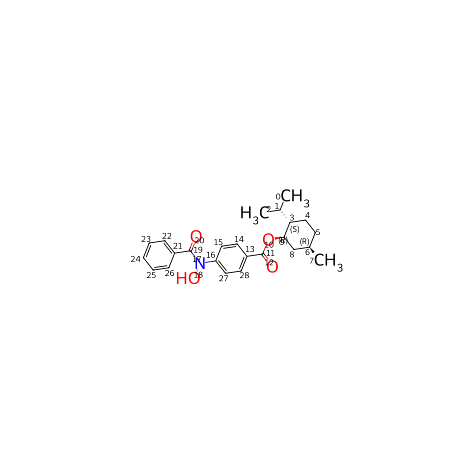 CC(C)[C@@H]1CC[C@@H](C)C[C@H]1OC(=O)c1ccc(N(O)C(=O)c2ccccc2)cc1